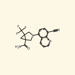 N#Cc1ccc(N2CC3(C(N)=O)CC3(C(F)(F)F)C2)c2cccnc12